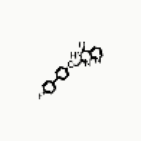 O=c1[nH]c(COc2ccc(-c3ccc(F)cc3)cc2)nc2ncccc12